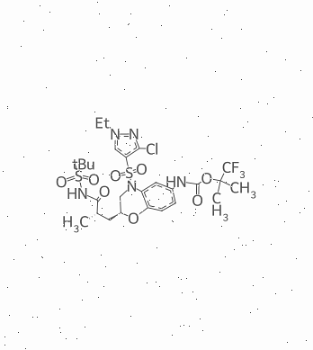 CCn1cc(S(=O)(=O)N2C[C@H](C[C@H](C)C(=O)NS(=O)(=O)C(C)(C)C)Oc3ccc(NC(=O)OC(C)(C)C(F)(F)F)cc32)c(Cl)n1